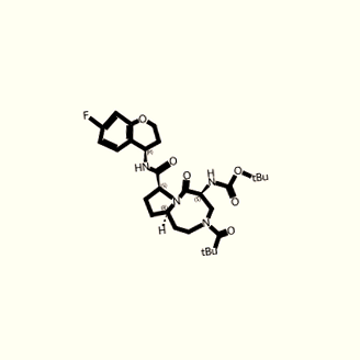 CC(C)(C)OC(=O)N[C@H]1CN(C(=O)C(C)(C)C)CC[C@H]2CC[C@@H](C(=O)N[C@@H]3CCOc4cc(F)ccc43)N2C1=O